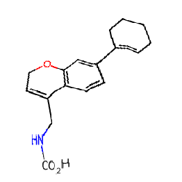 O=C(O)NCC1=CCOc2cc(C3=CCCCC3)ccc21